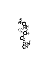 COCCn1c(Cc2cc(F)c(-c3cccc(OCc4cccnc4OC(F)F)n3)cc2F)nc2ccc(C(=O)OC)cc21